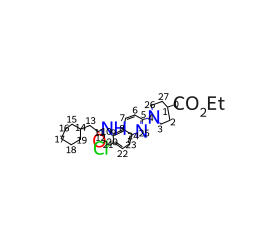 CCOC(=O)C1CCN(c2ccc3c(NC(=O)CC4CCCCC4)c(Cl)ccc3n2)CC1